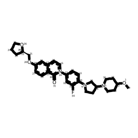 COC1CCN(C2CCN(c3ccc(-n4ccc5cc(OC[C@H]6CCCO6)ccc5c4=O)cc3F)C2)CC1